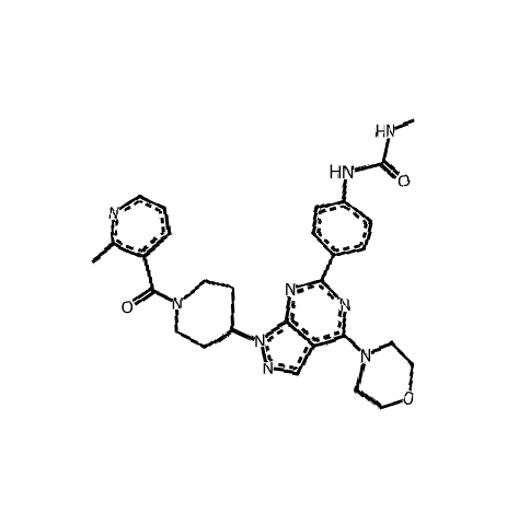 CNC(=O)Nc1ccc(-c2nc(N3CCOCC3)c3cnn(C4CCN(C(=O)c5cccnc5C)CC4)c3n2)cc1